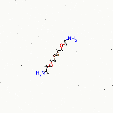 NCCOCCSSCCOCCN